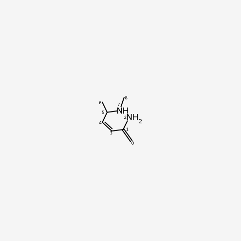 C=C(N)/C=C\C(C)NC